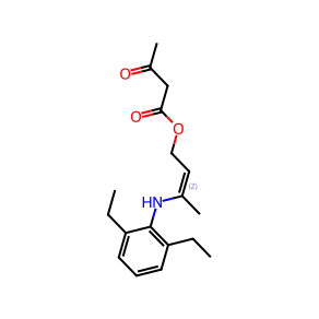 CCc1cccc(CC)c1N/C(C)=C\COC(=O)CC(C)=O